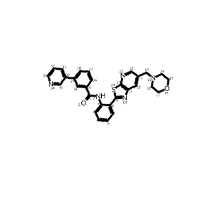 O=C(Nc1ccccc1-c1nc2cc(CN3CCOCC3)cnc2s1)c1cccc(-c2cccnc2)c1